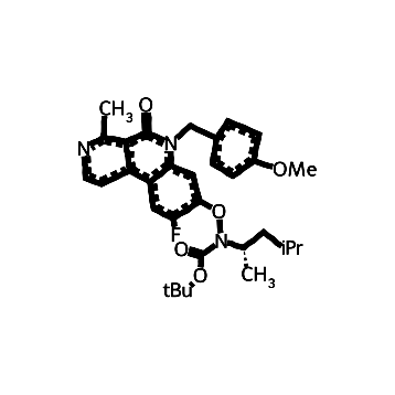 COc1ccc(Cn2c(=O)c3c(C)nccc3c3cc(F)c(ON(C(=O)OC(C)(C)C)[C@@H](C)CC(C)C)cc32)cc1